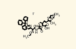 CCON=C(C(=O)N[C@@H]1C(=O)N2C(C(=O)O)=C(C=Cc3sc4cn(C)c[n+]4c3C)CS[C@H]12)c1csc(NC(c2ccccc2)(c2ccccc2)c2ccccc2)n1.[I-]